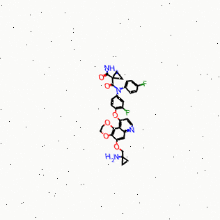 NC(=O)C1(C(=O)N(c2ccc(F)cc2)c2ccc(Oc3ccnc4cc(OCC5(N)CC5)c5c(c34)OCCO5)c(F)c2)CC1